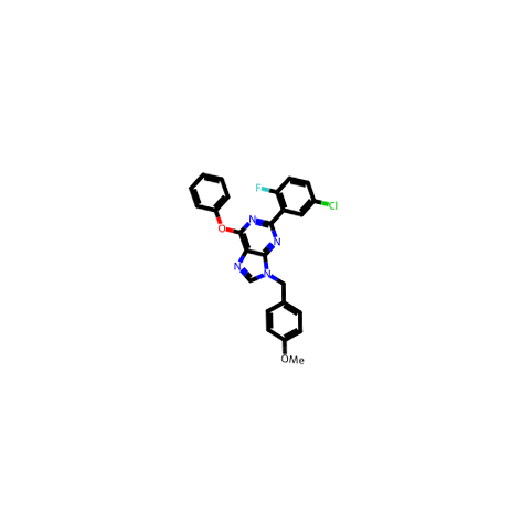 COc1ccc(Cn2cnc3c(Oc4ccccc4)nc(-c4cc(Cl)ccc4F)nc32)cc1